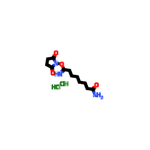 Cl.Cl.N=C(CCCCCCC(N)=O)ON1C(=O)CCC1=O